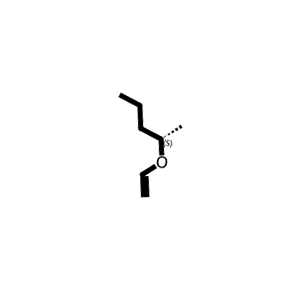 C=CO[C@@H](C)CCC